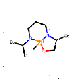 CCC(CC)N1CCCN2C(CC)CO[PH]12C